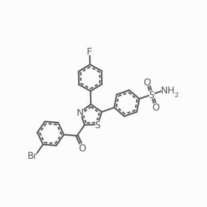 NS(=O)(=O)c1ccc(-c2sc(C(=O)c3cccc(Br)c3)nc2-c2ccc(F)cc2)cc1